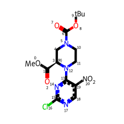 COC(=O)[C@H]1CN(C(=O)OC(C)(C)C)CCN1c1nc(Cl)ncc1[N+](=O)[O-]